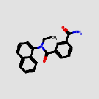 CCN(C(=O)c1cccc(C(N)=O)c1)c1cccc2ccccc12